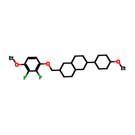 CCOc1ccc(OCC2CCC3CC(C4CCC(OCC)CC4)CCC3C2)c(F)c1F